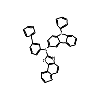 c1ccc(-c2cccc(N(c3ccc4c(c3)c3ccccc3n4-c3ccccc3)c3nc4ccc5ccccc5c4o3)c2)cc1